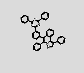 c1ccc(-c2nc(-c3ccccc3)nc(-c3cccc(-c4c(-c5ccccc5)n5ncc(-c6ccccc6)c5c5ccccc45)c3)n2)cc1